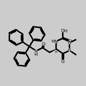 CON(C)C(=O)[C@@H](CC(=O)NC(c1ccccc1)(c1ccccc1)c1ccccc1)NC(=O)O